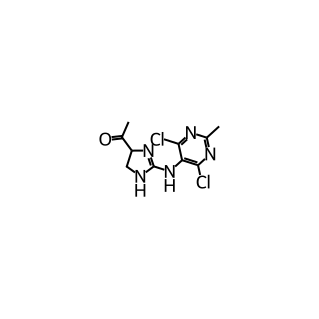 CC(=O)C1CNC(Nc2c(Cl)nc(C)nc2Cl)=N1